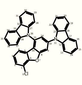 Clc1cccc2c1oc1cc(-n3c4ccccc4c4ccccc43)cc(-n3c4ccccc4c4ccccc43)c12